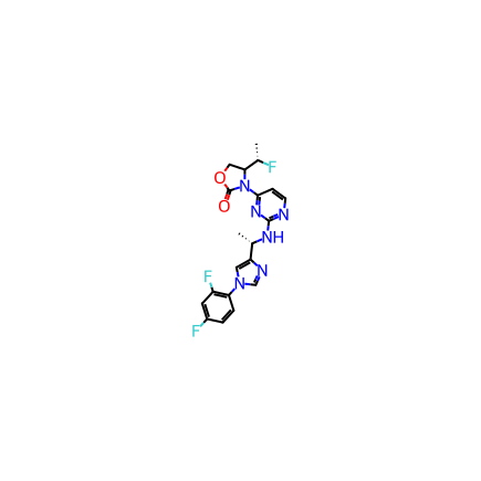 C[C@H](Nc1nccc(N2C(=O)OCC2[C@H](C)F)n1)c1cn(-c2ccc(F)cc2F)cn1